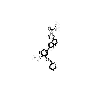 CCNC(=O)N1CC[C@@]2(CCn3nc(-c4cnc(N)c(OCc5ccccn5)c4)cc32)C1